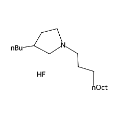 CCCCCCCCCCCN1CCC(CCCC)C1.F